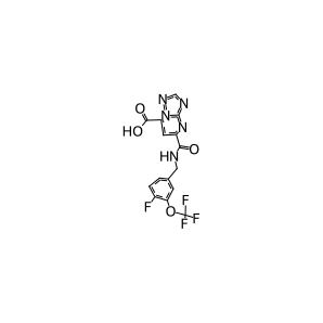 O=C(NCc1ccc(F)c(OC(F)(F)F)c1)c1cc(C(=O)O)n2ncnc2n1